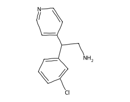 NCC(c1ccncc1)c1cccc(Cl)c1